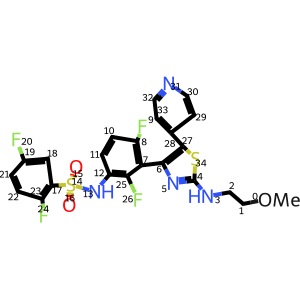 COCCNc1nc(-c2c(F)ccc(NS(=O)(=O)c3cc(F)ccc3F)c2F)c(-c2ccncc2)s1